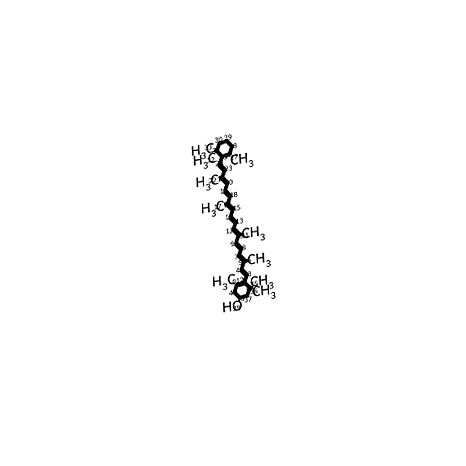 CC1=C(/C=C/C(C)=C/C=C/C(C)=C/C=C/C=C(C)/C=C/C=C(C)/C=C/C2C(C)CCCC2(C)C)C(C)(C)C[C@H](O)C1